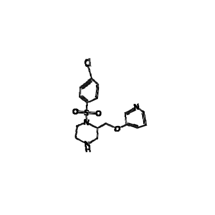 O=S(=O)(c1ccc(Cl)cc1)N1CCNCC1COc1cccnc1